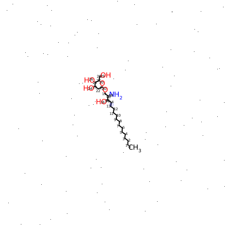 CCCCCCCCCCCCC/C=C/[C@@H](O)[C@@H](N)COC1CC(O)C(O)C(CO)O1